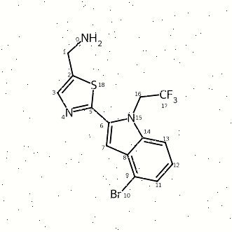 NCc1cnc(-c2cc3c(Br)cccc3n2CC(F)(F)F)s1